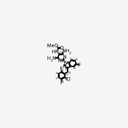 COC(=O)Nc1c(N)nc(-n2nc(Cc3c(F)ccc(F)c3Cl)c3cc(F)ccc32)nc1N